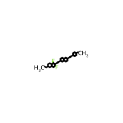 CCCC1CCc2c(cc(F)c(C#Cc3ccc4cc(C#Cc5ccc(CC)cc5)ccc4c3)c2F)C1